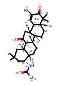 CC1(C)C[C@H]2[C@H](CC[C@]3(C)[C@@H]2C(=O)C[C@@H]2[C@@]4(C)C=C(C#N)C(=O)C(C)(C)[C@@H]4CC[C@]23C)[C@H](NC(=O)C(F)(F)F)C1